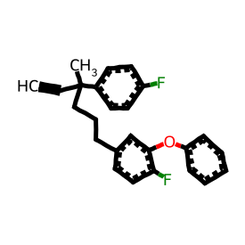 C#CC(C)(CCCc1ccc(F)c(Oc2ccccc2)c1)c1ccc(F)cc1